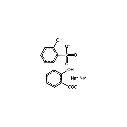 O=C([O-])c1ccccc1O.O=S(=O)([O-])c1ccccc1O.[Na+].[Na+]